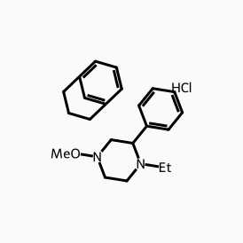 CCN1CCN(OC)CC1c1ccccc1.Cl.c1cc2cc(c1)CCC2